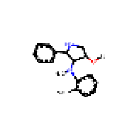 CCOC1CNC(c2ccccc2)C1N(C)c1ccccc1OC